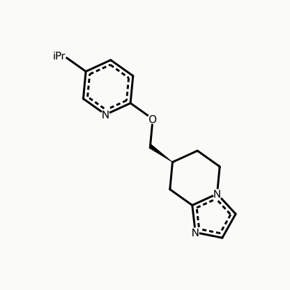 CC(C)c1ccc(OC[C@H]2CCn3ccnc3C2)nc1